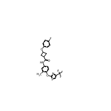 Cc1cc(NC(=O)C2CC(Oc3ccc(F)cc3)C2)ccc1Oc1nc(C(F)(F)F)cs1